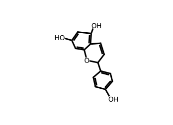 Oc1ccc(C2C=Cc3c(O)cc(O)cc3O2)cc1